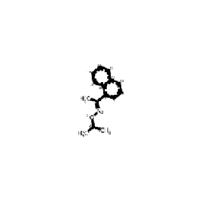 C/C(=N\OC(C)C)c1cccc2ccccc12